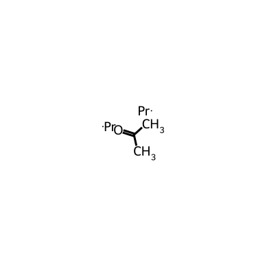 CC(C)=O.[Pr].[Pr]